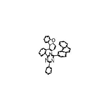 C1=CC2Oc3ccccc3C2C(c2ccccc2-c2nc(-c3ccccc3)nc(-c3ccc4ccc5ccccc5c4c3)n2)=C1